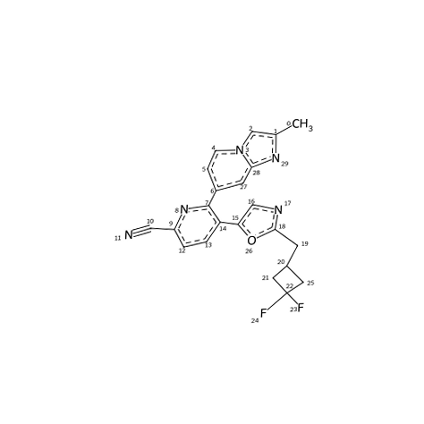 Cc1cn2ccc(-c3nc(C#N)ccc3-c3cnc(CC4CC(F)(F)C4)o3)cc2n1